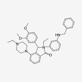 CCN1CCN(c2cccc3c2C(c2ccc(OC)c(OC)c2)[N+](CC)(c2cccc(NCc4ccccc4)c2)C3=O)CC1